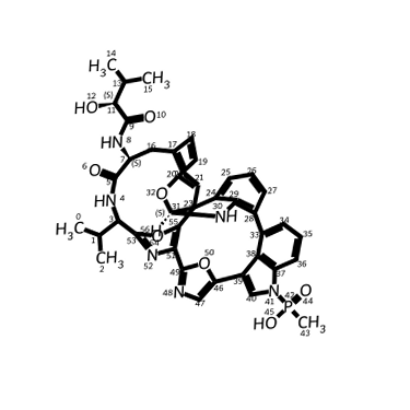 CC(C)C1NC(=O)[C@@H](NC(=O)[C@@H](O)C(C)C)Cc2ccc3c(c2)C24c5cccc(c5N[C@H]2O3)-c2cccc3c2c(cn3P(C)(=O)O)-c2cnc(o2)-c2nc1oc24